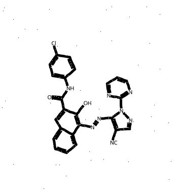 [C-]#[N+]c1cnn(-c2ncccn2)c1/N=N/c1c(O)c(C(=O)Nc2ccc(Cl)cc2)cc2ccccc12